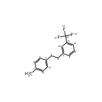 Cc1ccc(CCc2cccc(C(F)(F)F)c2)cc1